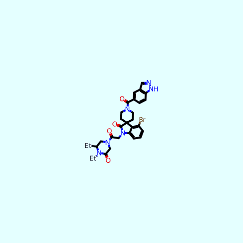 CCC1CN(C(=O)CN2C(=O)C3(CCN(C(=O)c4ccc5[nH]ncc5c4)CC3)c3c(Br)cccc32)CC(=O)N1CC